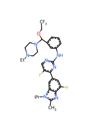 CCN1CCN(C(OCC(F)(F)F)c2cccc(Nc3ncc(F)c(-c4cc(F)c5nc(C)n(C(C)C)c5c4)n3)c2)CC1